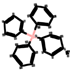 [K+].c1ccc([B-](c2ccccc2)(c2ccccc2)c2ccccc2)cc1